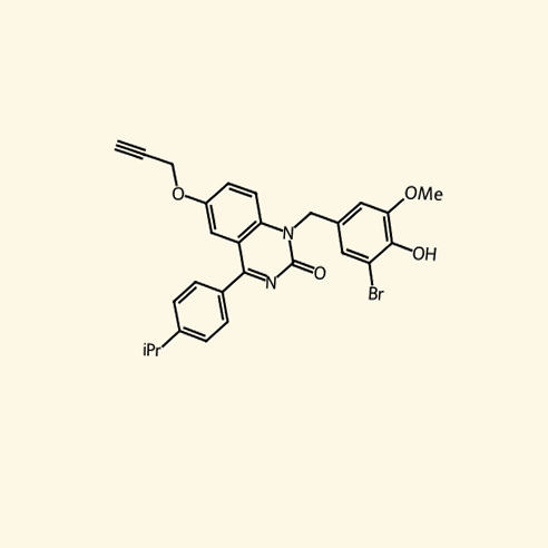 C#CCOc1ccc2c(c1)c(-c1ccc(C(C)C)cc1)nc(=O)n2Cc1cc(Br)c(O)c(OC)c1